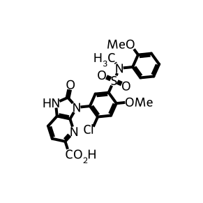 COc1ccccc1N(C)S(=O)(=O)c1cc(-n2c(=O)[nH]c3ccc(C(=O)O)nc32)c(Cl)cc1OC